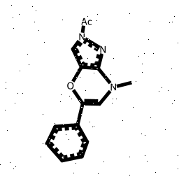 CC(=O)n1cc2c(n1)N(C)C=C(c1ccccc1)O2